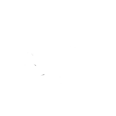 C[C@@H](CCCc1ccccc1)[C@H](O)C=C[C@H]1CCC(=O)N1CC=CCCCC(=O)O